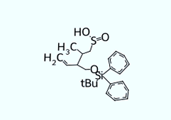 C=CC(CO[Si](c1ccccc1)(c1ccccc1)C(C)(C)C)C(C)CS(=O)O